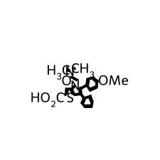 COc1ccc(-c2c(-c3ccccc3)c3sc(C(=O)O)cc3n2CC(=O)N(C)C)cc1